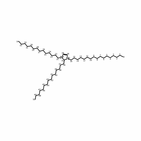 CCCCCCCCCCCCCCCCCN1C=CN(CCCCCCCCCCCCCC)C1CCCCCCCCCCCCCCC